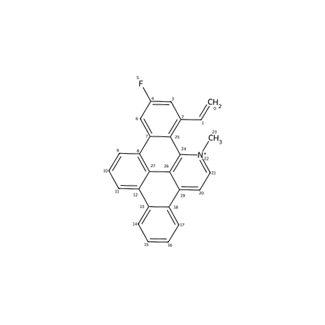 C=Cc1cc(F)cc2c3cccc4c5ccccc5c5cc[n+](C)c(c12)c5c43